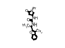 Cc1c([C@@H](C)NC(=O)NC2CC(=O)N(C(C)C)C2)oc2ccccc12